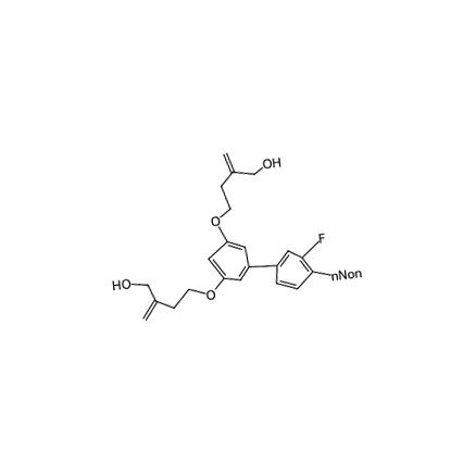 C=C(CO)CCOc1cc(OCCC(=C)CO)cc(-c2ccc(CCCCCCCCC)c(F)c2)c1